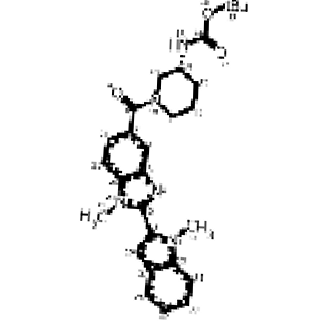 Cn1c(-c2nc3cc(C(=O)N4CCC[C@@H](NC(=O)OC(C)(C)C)C4)ccc3n2C)cc2ccccc21